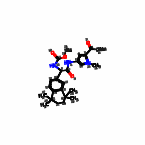 COC(=O)c1cc(NC(=O)C(NC(=O)OC(C)(C)C)c2ccc3c(c2)C(C)(C)CCC3(C)C)cn1C